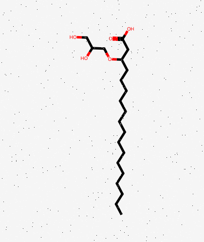 CCCCCCCCCCCCCCCC(CC(=O)O)OCC(O)CO